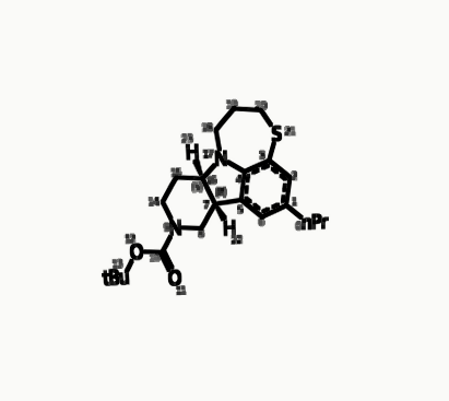 CCCc1cc2c3c(c1)[C@@H]1CN(C(=O)OC(C)(C)C)CC[C@@H]1N3CCCS2